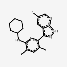 Fc1cnc2[nH]nc(-c3nc(NC4CCCCC4)c(F)cc3F)c2c1